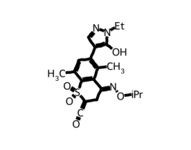 CCn1ncc(-c2cc(C)c3c(c2C)C(=NOC(C)C)CC(=C=O)S3(=O)=O)c1O